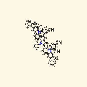 CC1(C)c2ccccc2-c2cc3c4ccccc4n(-c4c(C#N)cc(C#N)cc4-c4ccc5c(c4)c4cc(-c6cc(C#N)cc(C#N)c6-n6c7ccccc7c7cc8c(cc76)C(C)(C)c6ccccc6-8)ccc4n5-c4ccccc4)c3cc21